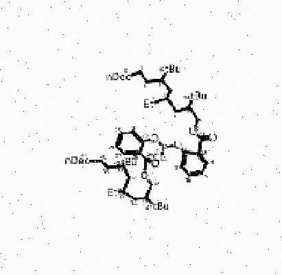 CCCCCCCCCCCCC(CC(CC)CC(COC(=O)c1ccccc1OP(Cl)Oc1ccccc1C(=O)OCC(CC(CC)CC(CCCCCCCCCCCC)C(C)(C)C)C(C)(C)C)C(C)(C)C)C(C)(C)C